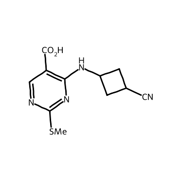 CSc1ncc(C(=O)O)c(NC2CC(C#N)C2)n1